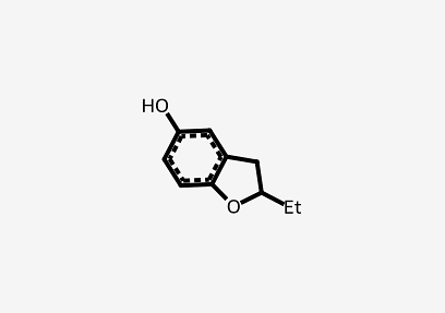 CCC1Cc2cc(O)ccc2O1